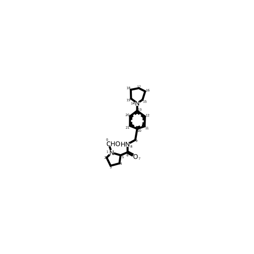 O=CN1CCCC1C(=O)NCc1ccc(N2CCCCC2)cc1